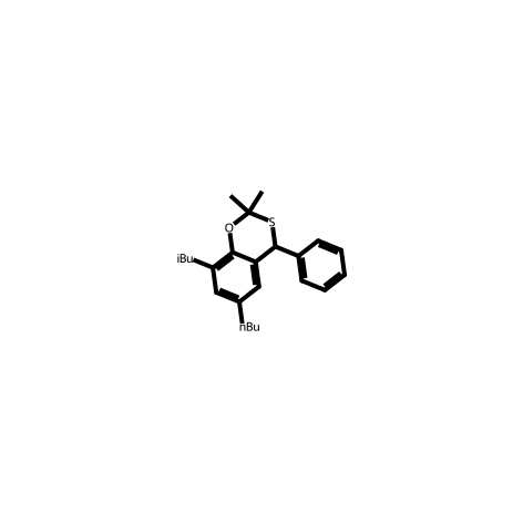 CCCCc1cc(C(C)CC)c2c(c1)C(c1ccccc1)SC(C)(C)O2